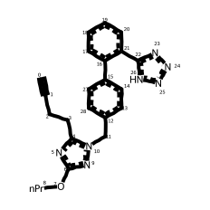 C#CCCc1nc(OCCC)nn1Cc1ccc(-c2ccccc2-c2nnn[nH]2)cc1